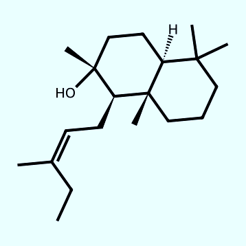 CCC(C)=CC[C@@H]1[C@@]2(C)CCCC(C)(C)[C@@H]2CC[C@@]1(C)O